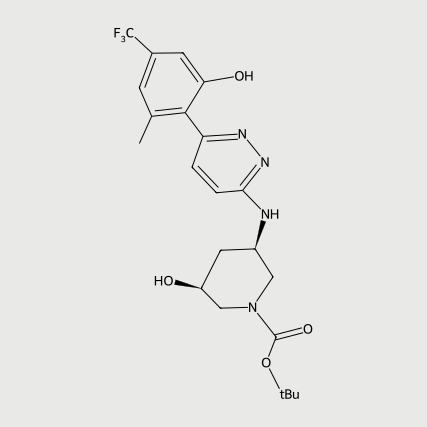 Cc1cc(C(F)(F)F)cc(O)c1-c1ccc(N[C@@H]2C[C@H](O)CN(C(=O)OC(C)(C)C)C2)nn1